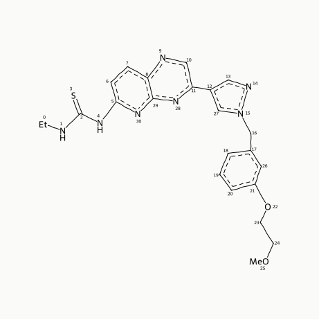 CCNC(=S)Nc1ccc2ncc(-c3cnn(Cc4cccc(OCCOC)c4)c3)nc2n1